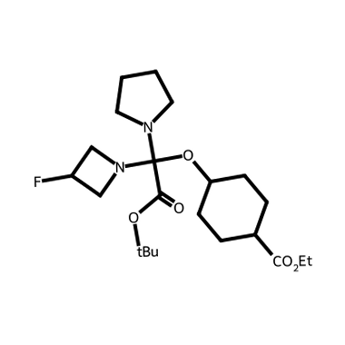 CCOC(=O)C1CCC(OC(C(=O)OC(C)(C)C)(N2CCCC2)N2CC(F)C2)CC1